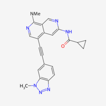 CNc1ncc(C#Cc2ccc3nnn(C)c3c2)c2cc(NC(=O)C3CC3)ncc12